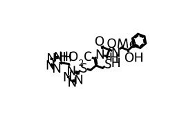 CO[C@@]1(NCC(O)c2ccccc2)C(=O)N2C(C(=O)O)=C(CSc3nnnn3Cc3nnn[nH]3)CS[C@H]21